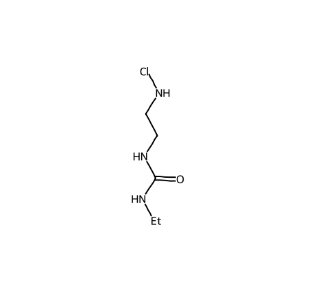 CCNC(=O)NCCNCl